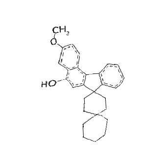 COc1ccc2c3c(cc(O)c2c1)C1(CCC2(CCCCC2)CC1)c1ccccc1-3